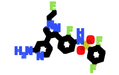 Nc1cc(-c2cn(CCF)nc2-c2cccc(NS(=O)(=O)c3cc(F)ccc3F)c2F)ccn1